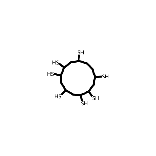 SC1CCC(S)CC(S)C(S)CC(S)CC(S)C(S)C1